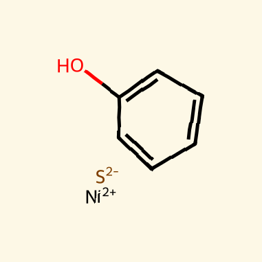 Oc1ccccc1.[Ni+2].[S-2]